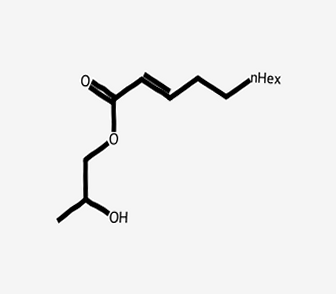 CCCCCCCCC=CC(=O)OCC(C)O